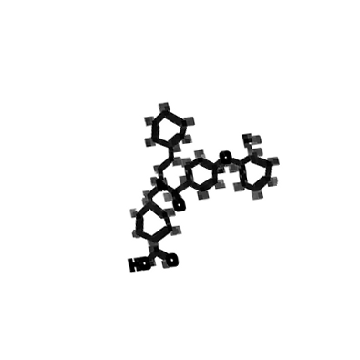 O=C(O)c1ccc(CN(CCc2ccccc2)C(=O)c2ccc(Oc3ccccc3F)cc2)cc1